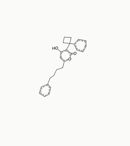 O=c1oc(CCCCc2ccccc2)cc(O)c1C1(c2ccccc2)CCC1